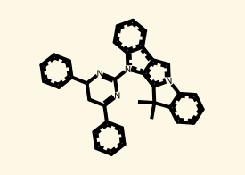 CC1(C)c2ccccc2-n2cc3c4ccccc4n(C4=NC(c5ccccc5)CC(c5ccccc5)=N4)c3c21